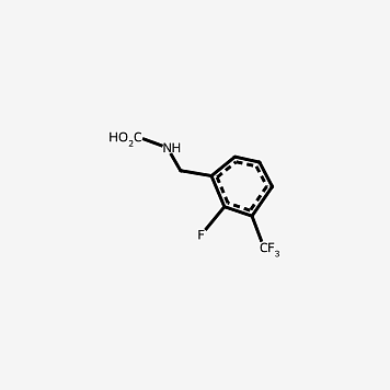 O=C(O)NCc1cccc(C(F)(F)F)c1F